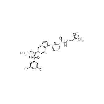 CN(C)CCNC(=O)c1cccc(-n2ccc3cc(N(CC(=O)O)S(=O)(=O)c4cc(Cl)cc(Cl)c4)ccc32)n1